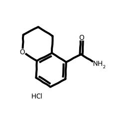 Cl.NC(=O)c1cccc2c1CCCO2